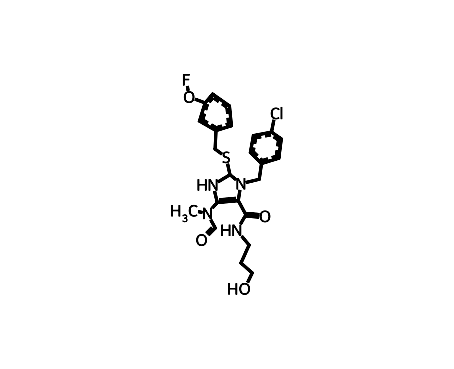 CN(C=O)C1=C(C(=O)NCCCO)N(Cc2ccc(Cl)cc2)C(SCc2cccc(OF)c2)N1